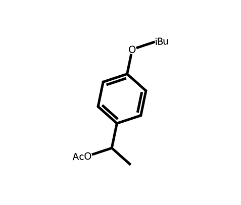 CCC(C)Oc1ccc(C(C)OC(C)=O)cc1